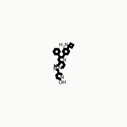 NC1(c2ccc(-c3nc4ccn5c(-c6ccc(O)nc6)nnc5c4cc3-c3ccccc3)cc2)CCC1